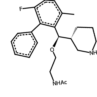 CC(=O)NCCO[C@@H](c1c(C)ccc(F)c1-c1ccccc1)[C@@H]1CCCNC1